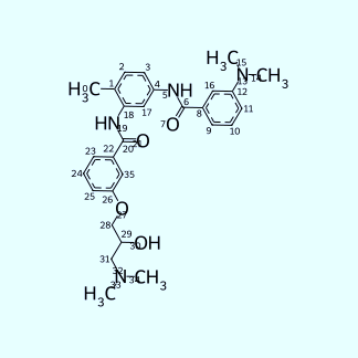 Cc1ccc(NC(=O)c2cccc(N(C)C)c2)cc1NC(=O)c1cccc(OCC(O)CN(C)C)c1